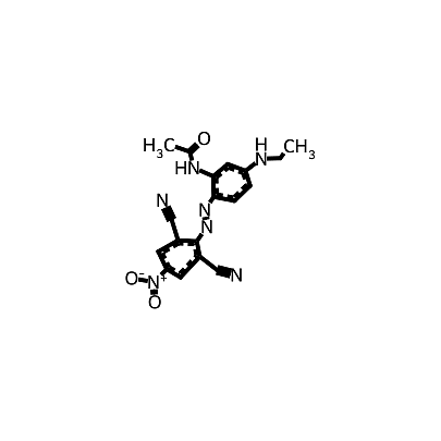 CCNc1ccc(N=Nc2c(C#N)cc([N+](=O)[O-])cc2C#N)c(NC(C)=O)c1